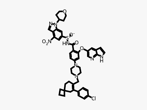 O=C(N[S+]([O-])c1cc([N+](=O)[O-])c2cnn(C3CCOCC3)c2c1)c1ccc(N2CCN(CC3=C(c4ccc(Cl)cc4)CC4(CCC4)CC3)CC2)cc1Oc1cnc2[nH]ccc2c1